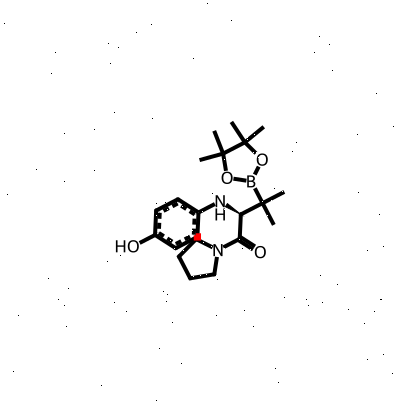 CC(C)(B1OC(C)(C)C(C)(C)O1)[C@H](Nc1ccc(O)cc1)C(=O)N1CCCC1